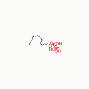 CCCCC/C=C\C/C=C\C/C=C\C/C=C\CCCC(=O)O[C@H](CO)COP(=O)(O)O